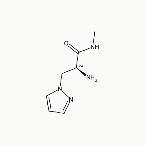 CNC(=O)[C@@H](N)Cn1cccn1